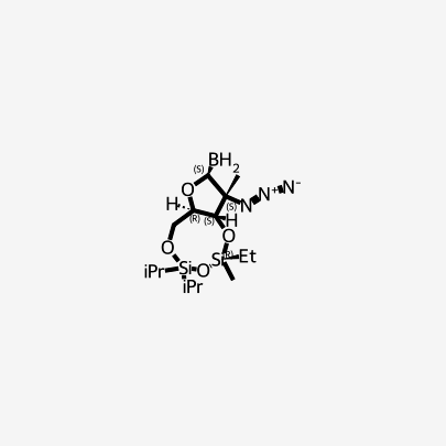 B[C@@H]1O[C@@H]2CO[Si](C(C)C)(C(C)C)O[Si@](C)(CC)O[C@H]2[C@@]1(C)N=[N+]=[N-]